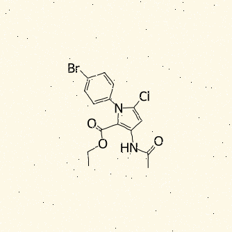 CCOC(=O)c1c(NC(C)=O)cc(Cl)n1-c1ccc(Br)cc1